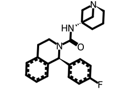 O=C(N[C@]12CCC[N@](C1)C2)N1CCc2ccccc2[C@@H]1c1ccc(F)cc1